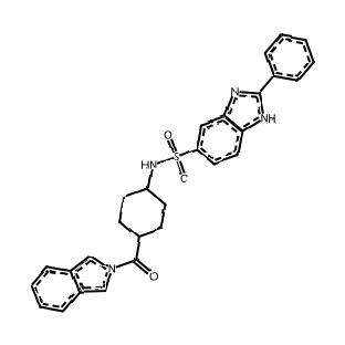 O=C(C1CCC(NS(=O)(=O)c2ccc3[nH]c(-c4ccccc4)nc3c2)CC1)n1cc2ccccc2c1